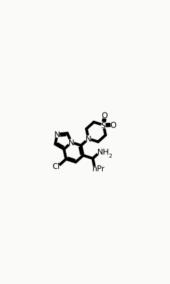 CCCC(N)c1cc(Cl)c2cncn2c1N1CCS(=O)(=O)CC1